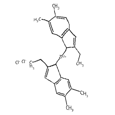 CCC1=Cc2cc(C)c(C)cc2[CH]1[Zr+2][CH]1C(CC)=Cc2cc(C)c(C)cc21.[Cl-].[Cl-]